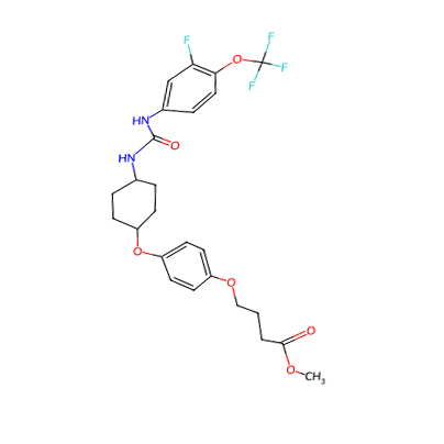 COC(=O)CCCOc1ccc(OC2CCC(NC(=O)Nc3ccc(OC(F)(F)F)c(F)c3)CC2)cc1